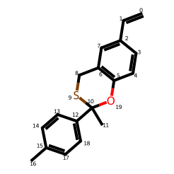 C=Cc1ccc2c(c1)CSC(C)(c1ccc(C)cc1)O2